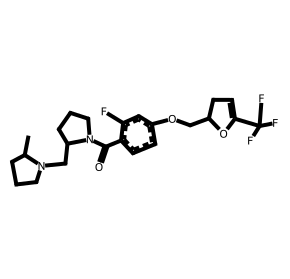 CC1CCCN1CC1CCCN1C(=O)c1ccc(OCC2CC=C(C(F)(F)F)O2)cc1F